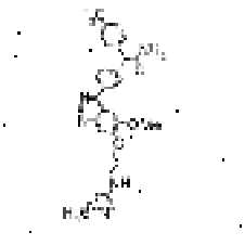 COc1cc2c(-c3ccc(C(C(N)=O)c4ccc(C(F)(F)F)cc4)cc3)ncnc2cc1OCCCNc1cnn(C)c1